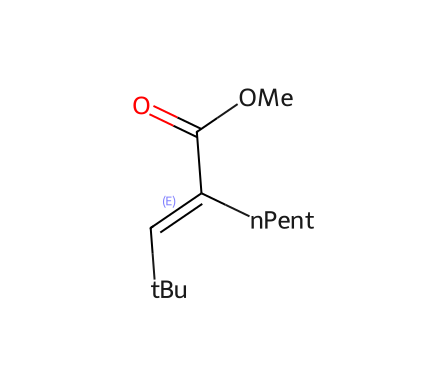 CCCCC/C(=C\C(C)(C)C)C(=O)OC